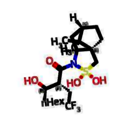 CCCCCC[C@@H](O)[C@@H](CC(F)(F)F)C(=O)N1[C@H]2C[C@@H]3CC[C@@]2(CS1(O)O)C3(C)C